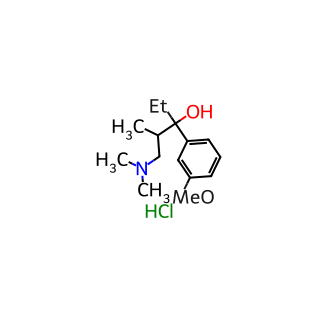 CCC(O)(c1cccc(OC)c1)C(C)CN(C)C.Cl